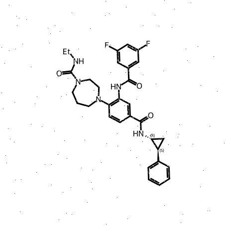 CCNC(=O)N1CCCN(c2ccc(C(=O)N[C@@H]3C[C@H]3c3ccccc3)cc2NC(=O)c2cc(F)cc(F)c2)CC1